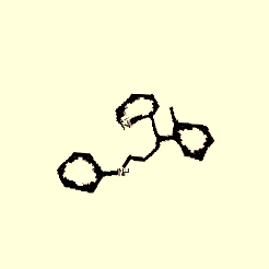 Cc1ccccc1C(CCNc1ccccc1)c1ccccn1